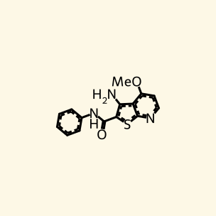 COc1ccnc2sc(C(=O)Nc3ccccc3)c(N)c12